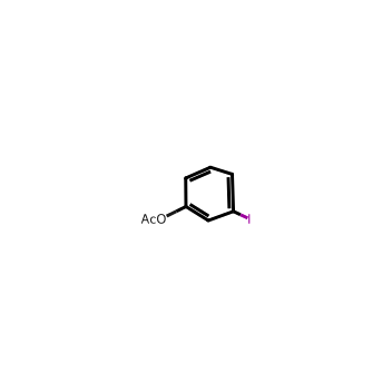 CC(=O)Oc1cccc(I)c1